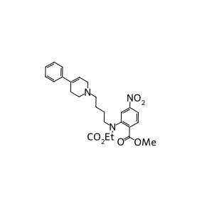 CCOC(=O)N(CCCCN1CC=C(c2ccccc2)CC1)c1cc([N+](=O)[O-])ccc1C(=O)OC